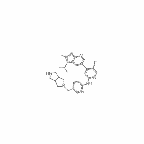 CC(C)c1c2cc(-c3nc(Nc4ccc(CN5CC6CNCC6C5)cn4)ncc3F)cnc2nn1C